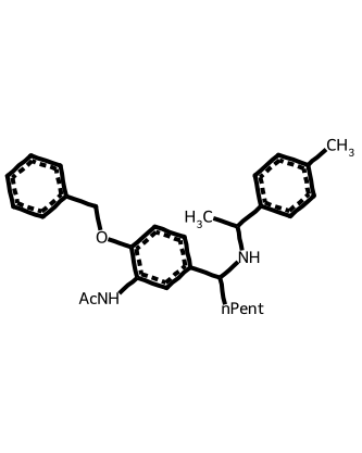 CCCCCC(NC(C)c1ccc(C)cc1)c1ccc(OCc2ccccc2)c(NC(C)=O)c1